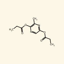 CCC(=O)Oc1cnc(OC(=O)CC)c(C)n1